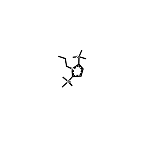 CCCn1[c]([Sn]([CH3])([CH3])[CH3])cc[c]1[Sn]([CH3])([CH3])[CH3]